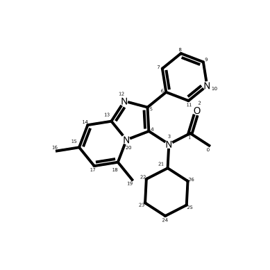 CC(=O)N(c1c(-c2cccnc2)nc2cc(C)cc(C)n12)C1CCCCC1